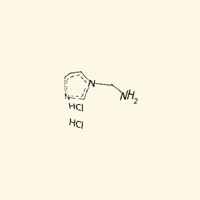 Cl.Cl.NCn1ccnc1